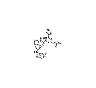 COC(=O)/C=C/CC[C@H](NC(=O)c1cncn1C)C(=O)Nc1cccn(CC(=O)N[C@H]2C[C@H]3CC[C@@H]2C3)c1=O